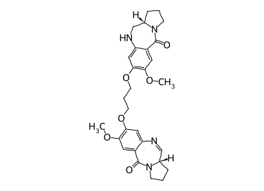 COc1cc2c(cc1OCCCOc1cc3c(cc1OC)C(=O)N1CCC[C@H]1CN3)N=C[C@@H]1CCCN1C2=O